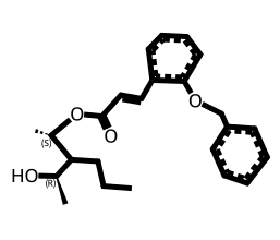 CCCC([C@H](C)OC(=O)C=Cc1ccccc1OCc1ccccc1)[C@@H](C)O